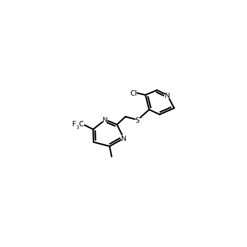 Cc1cc(C(F)(F)F)nc(CSc2ccncc2Cl)n1